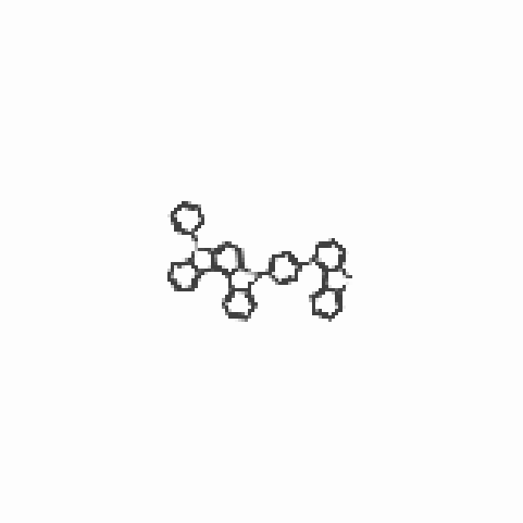 C1=CCC(n2c3ccccc3c3c4c5ccccc5n(-c5ccc(-c6cccc7oc8ccccc8c67)cc5)c4ccc32)C=C1